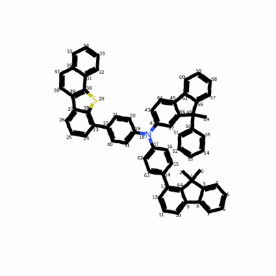 CC1(C)c2ccccc2-c2cccc(-c3ccc(N(c4ccc(-c5cccc6c5sc5c7ccccc7ccc65)cc4)c4ccc5c(c4)C(C)(c4ccccc4)c4ccccc4-5)cc3)c21